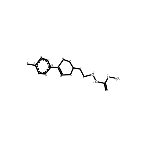 C=C(OCC[CH-][CH2+])OOCCC1CC=C(c2ccc(C)cc2)CC1